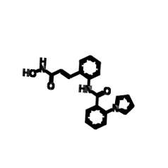 O=C(/C=C/c1ccccc1NC(=O)c1ccccc1-n1cccc1)NO